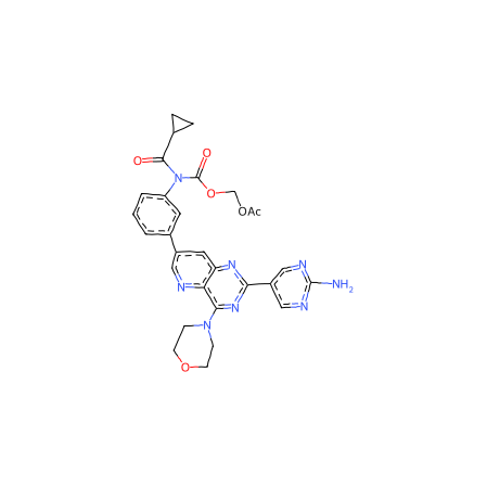 CC(=O)OCOC(=O)N(C(=O)C1CC1)c1cccc(-c2cnc3c(N4CCOCC4)nc(-c4cnc(N)nc4)nc3c2)c1